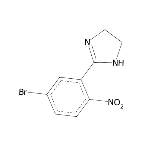 O=[N+]([O-])c1ccc(Br)cc1C1=NCCN1